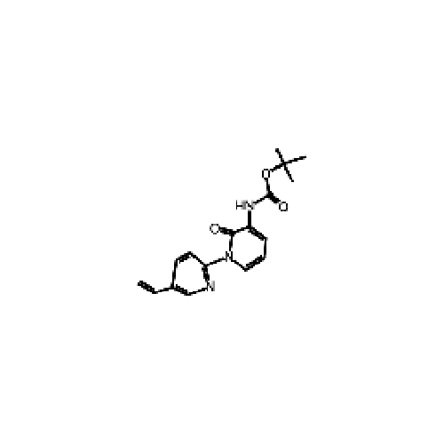 C=Cc1ccc(-n2cccc(NC(=O)OC(C)(C)C)c2=O)nc1